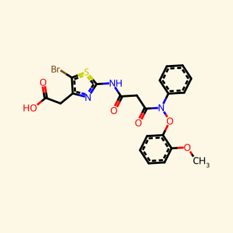 COc1ccccc1ON(C(=O)CC(=O)Nc1nc(CC(=O)O)c(Br)s1)c1ccccc1